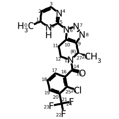 CC1C=CN=C(n2nnc3c2CCN(C(=O)c2cccc(C(F)(F)F)c2Cl)[C@@H]3C)N1